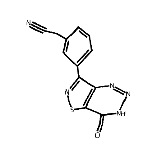 N#Cc1cccc(-c2nsc3c(=O)[nH]nnc23)c1